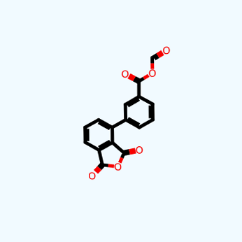 O=COC(=O)c1cccc(-c2cccc3c2C(=O)OC3=O)c1